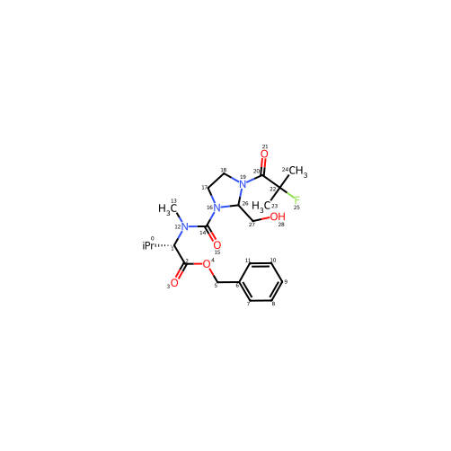 CC(C)[C@@H](C(=O)OCc1ccccc1)N(C)C(=O)N1CCN(C(=O)C(C)(C)F)C1CO